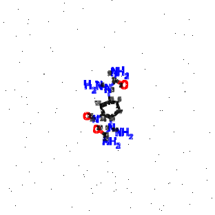 NC(=O)N(N)c1ccc(N(N)C(N)=O)c(N=O)c1